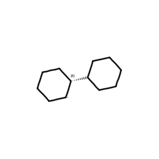 [CH]1CCCC[C@@H]1C1CCCCC1